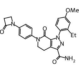 CCc1cc(OC)ccc1-n1nc(C(N)=O)c2c1C(=O)N(c1ccc(N3CCC3=O)cc1)CC2